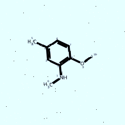 CNc1cc(C)ccc1OI